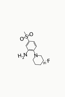 CS(=O)(=O)c1ccc(N2CCC[C@@H](F)C2)c(N)c1